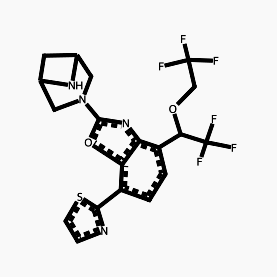 FC(F)(F)COC(c1ccc(-c2nccs2)c2oc(N3CC4CC(C3)N4)nc12)C(F)(F)F